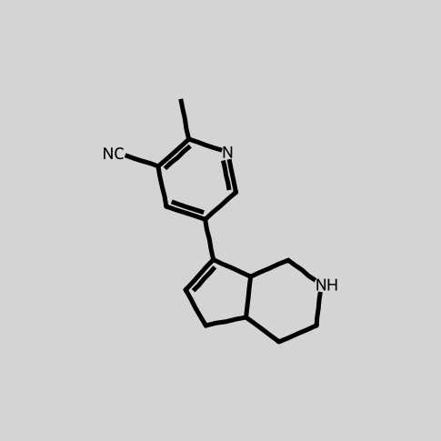 Cc1ncc(C2=CCC3CCNCC23)cc1C#N